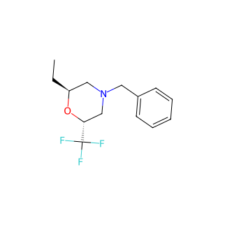 CC[C@H]1CN(Cc2ccccc2)C[C@H](C(F)(F)F)O1